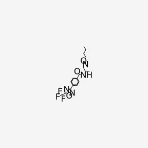 CCCCON=CC(C)NC(=O)c1ccc(-c2noc(C(F)(F)F)n2)cc1